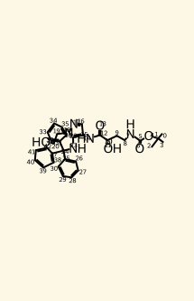 CC(C)(C)OC(=O)NCC[C@H](O)C(=O)Nc1cnn(CCO)c1NC(c1ccccc1)(c1ccccc1)c1ccccc1